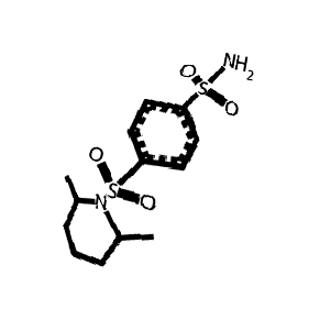 CC1CCCC(C)N1S(=O)(=O)c1ccc(S(N)(=O)=O)cc1